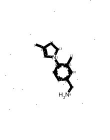 CC1=CN(c2ccc(CN)cc2C)CC1